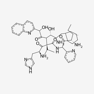 CC[C@H](C)[C@H](N)C(=O)C(NC(=O)[C@@](C(=O)[C@@H](N)Cc1c[nH]cn1)(C(C)C)C(C(=O)C(O)c1ccc2ccccc2n1)[C@H](O)[C@@H](N)CC1CCCCC1)c1ccccn1